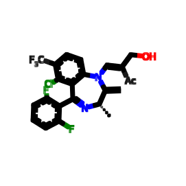 C=C1[C@H](C)N=C(c2c(F)cccc2F)c2c(ccc(C(F)(F)F)c2Cl)N1/C=C(/CO)C(C)=O